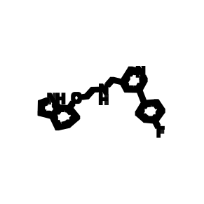 Fc1ccc(-c2cncc(CNCCOc3cccc4cc[nH]c34)c2)cc1